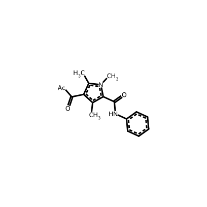 CC(=O)C(=O)c1c(C)c(C(=O)Nc2ccccc2)n(C)c1C